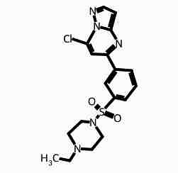 CCN1CCN(S(=O)(=O)c2cccc(-c3cc(Cl)n4nccc4n3)c2)CC1